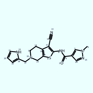 Cn1cc(C(=O)Nc2sc3c(c2C#N)CCN(Cc2ccc[nH]2)C3)cn1